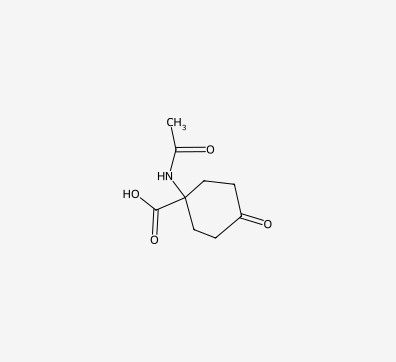 CC(=O)NC1(C(=O)O)CCC(=O)CC1